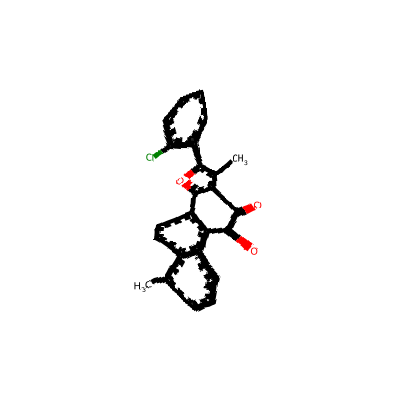 Cc1c(-c2ccccc2Cl)oc2c1C(=O)C(=O)c1c-2ccc2c(C)cccc12